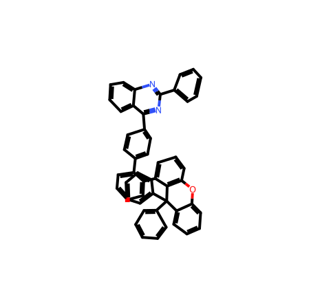 c1ccc(-c2nc(-c3ccc(-c4ccccc4-c4cccc5c4C(c4ccccc4)(c4ccccc4)c4ccccc4O5)cc3)c3ccccc3n2)cc1